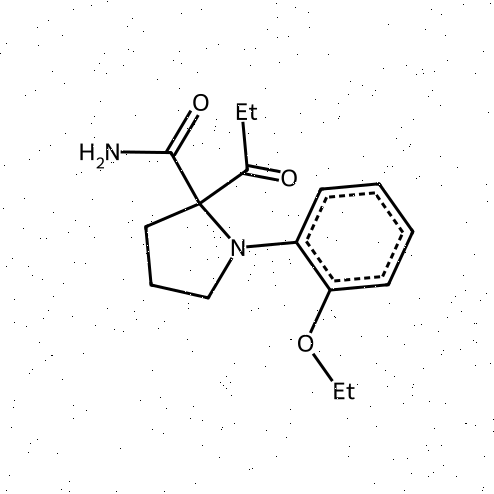 CCOc1ccccc1N1CCCC1(C(N)=O)C(=O)CC